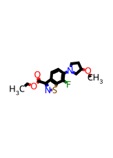 CCOC(=O)c1nsc2c(F)c(N3CCC(OC)C3)ccc12